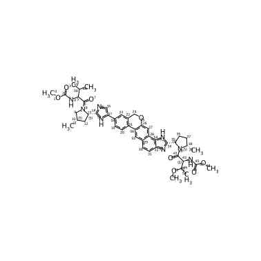 COC(=O)NC(C(=O)N1C[C@@H](C)C[C@H]1c1ncc(-c2ccc3c(c2)COc2cc4c(ccc5nc([C@@H]6CC[C@H](C)N6C(=O)[C@@H](NC(=O)OC)[C@@H](C)OC)[nH]c54)cc2-3)[nH]1)C(C)C